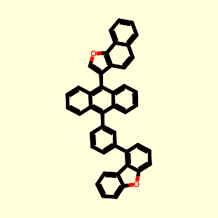 c1cc(-c2c3ccccc3c(-c3coc4c3ccc3ccccc34)c3ccccc23)cc(-c2cccc3oc4ccccc4c23)c1